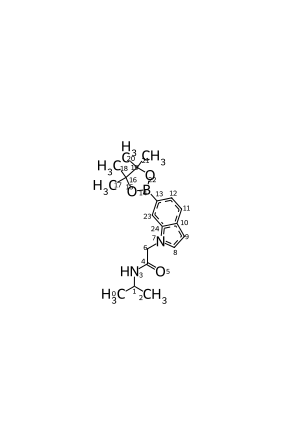 CC(C)NC(=O)Cn1ccc2ccc(B3OC(C)(C)C(C)(C)O3)cc21